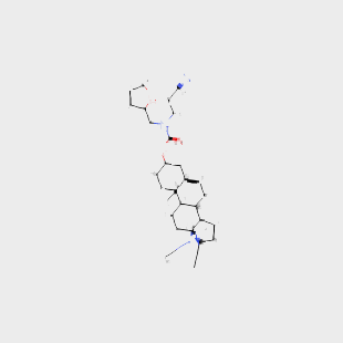 CC1C2CCC3C4CC=C5CC(OC(=O)N(CCC#N)CC6CCCO6)CCC5(C)C4CCC32CN1C